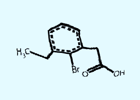 CCc1cccc(CC(=O)O)c1Br